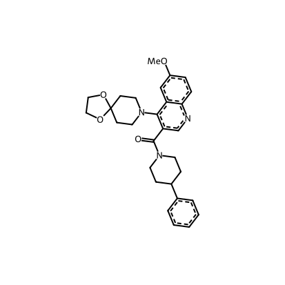 COc1ccc2ncc(C(=O)N3CCC(c4ccccc4)CC3)c(N3CCC4(CC3)OCCO4)c2c1